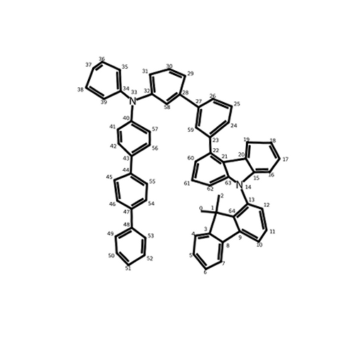 CC1(C)c2ccccc2-c2cccc(-n3c4ccccc4c4c(-c5cccc(-c6cccc(N(c7ccccc7)c7ccc(-c8ccc(-c9ccccc9)cc8)cc7)c6)c5)cccc43)c21